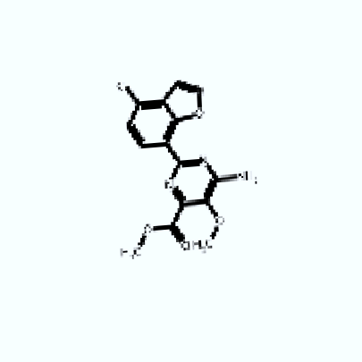 COC(=O)c1nc(-c2ccc(Cl)c3ccoc23)nc(N)c1OC